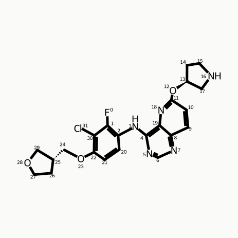 Fc1c(Nc2ncnc3ccc(O[C@H]4CCNC4)nc23)ccc(OC[C@@H]2CCOC2)c1Cl